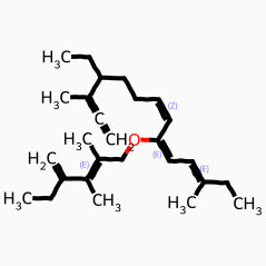 C=C=C(C)C(CC)CC\C=C/C(=C\C=C(/C)CC)OC/C(C)=C(\C)C(=C)CC